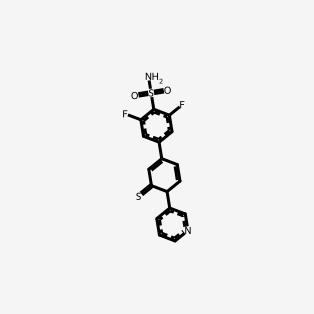 NS(=O)(=O)c1c(F)cc(C2=CC(=S)C(c3cccnc3)C=C2)cc1F